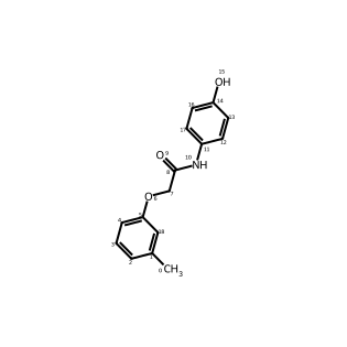 Cc1cccc(OCC(=O)Nc2ccc(O)cc2)c1